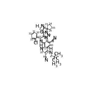 CC(C)(C)CNc1c(C#N)cnc2c(N[C@H](c3cn(C4(C(N)=O)CCCC4)nn3)c3ccccc3Cl)cc(C#N)cc12